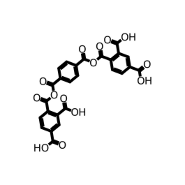 O=C(O)c1ccc(C(=O)OC(=O)c2ccc(C(=O)OC(=O)c3ccc(C(=O)O)cc3C(=O)O)cc2)c(C(=O)O)c1